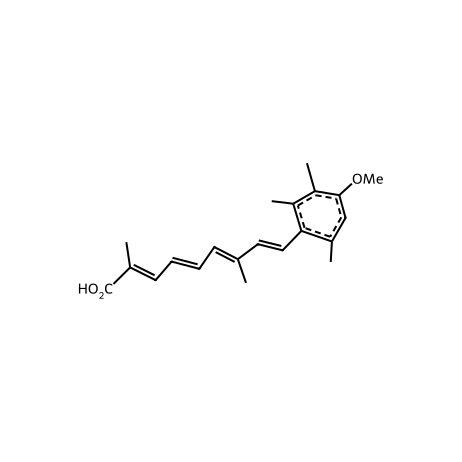 COc1cc(C)c(/C=C/C(C)=C/C=C/C=C(\C)C(=O)O)c(C)c1C